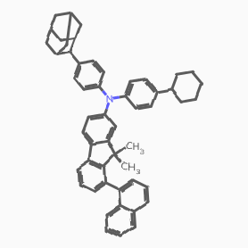 CC1(C)c2cc(N(c3ccc(C4CCCCC4)cc3)c3ccc(C4C5CC6CC(C5)CC4C6)cc3)ccc2-c2cccc(-c3cccc4ccccc34)c21